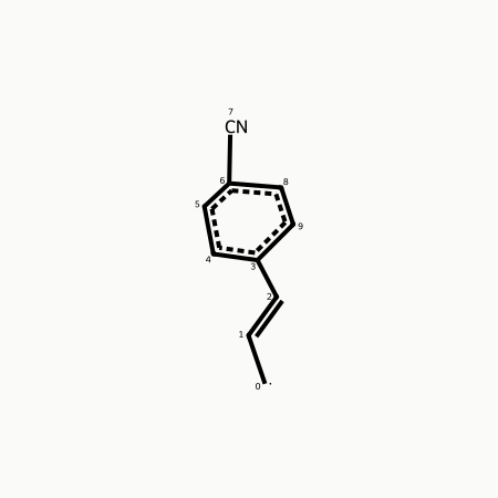 [CH2]/C=C/c1ccc(C#N)cc1